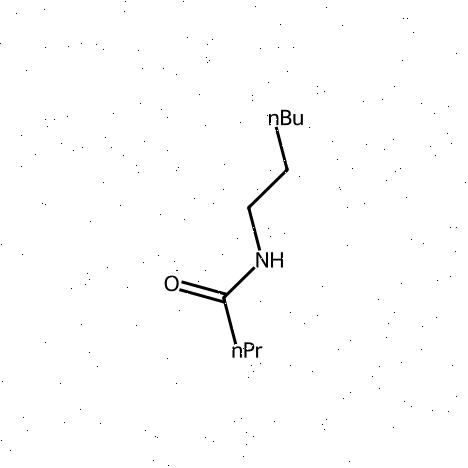 [CH2]CCC(=O)NCCCCCC